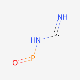 N=[C]NP=O